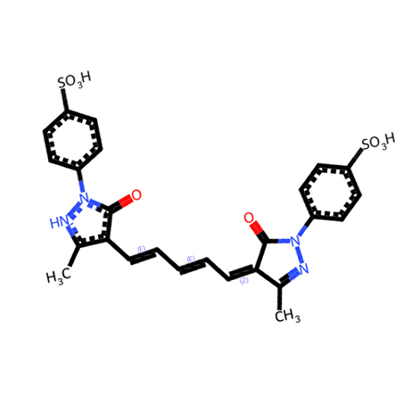 CC1=NN(c2ccc(S(=O)(=O)O)cc2)C(=O)\C1=C/C=C/C=C/c1c(C)[nH]n(-c2ccc(S(=O)(=O)O)cc2)c1=O